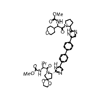 COC(=O)NC(C(=O)N1CCCC1c1ncc(-c2ccc(-c3ccc(-c4cnc([C@@H]5CC6(CN5C(=O)[C@@H](NC(=O)OC)C(C)C)OCCO6)[nH]4)cc3)cc2)[nH]1)C1CCOCC1